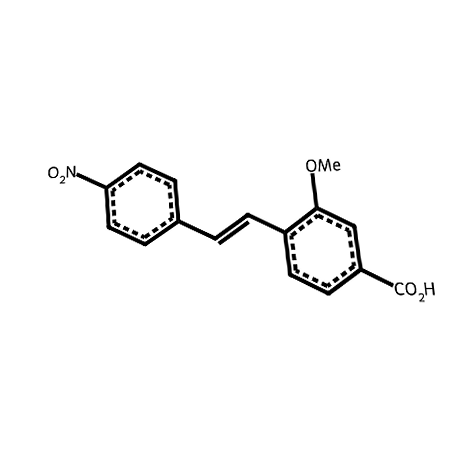 COc1cc(C(=O)O)ccc1/C=C/c1ccc([N+](=O)[O-])cc1